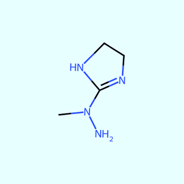 CN(N)C1=NCCN1